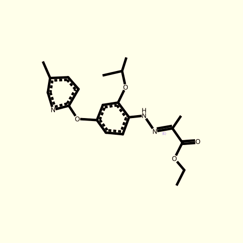 CCOC(=O)/C(C)=N/Nc1ccc(Oc2ccc(C)cn2)cc1OC(C)C